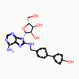 Nc1ncnc2c1nc(NCc1ccc(-c3ccc(O)cc3)cc1)n2[C@@H]1O[C@H](CO)[C@@H](O)[C@H]1O